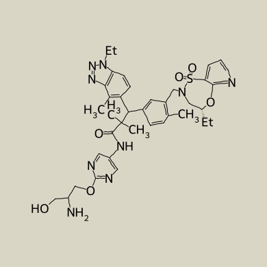 CC[C@@H]1CN(Cc2cc(C(c3ccc4c(nnn4CC)c3C)C(C)(C)C(=O)Nc3cnc(OCC(N)CO)nc3)ccc2C)S(=O)(=O)c2cccnc2O1